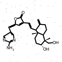 C=C1CCC2[C@](C)(CC[C@@H](O)[C@@]2(C)CO)C1/C=C/C1=CC(=C\c2cnc(N)nc2)/OC1=O